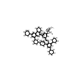 CC(=Nc1c(C2CCCCC2)cc(C2CCCCC2)cc1C1CCCCC1)c1cc(C)cc(C(C)=Nc2c(C3CCCCC3)cc(C3CCCCC3)cc2C2CCCCC2)n1.[Cl-].[Cl-].[V+2]